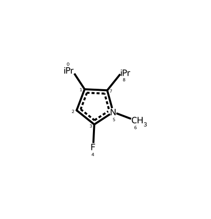 CC(C)c1cc(F)n(C)c1C(C)C